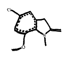 C=C1Cc2cc(Cl)cc(OC)c2N1C